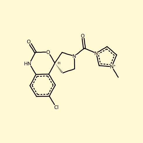 C[n+]1ccn(C(=O)N2CC[C@@]3(C2)OC(=O)Nc2ccc(Cl)cc23)c1